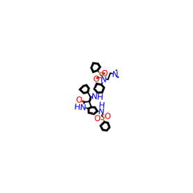 CN(C)CCN(c1ccc(NC(=C2C(=O)Nc3ccc(NS(=O)(=O)c4ccccc4)cc32)c2ccccc2)cc1)S(=O)(=O)c1ccccc1